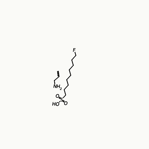 C=CCN.O=S(=O)(O)CCCCCCCCCF